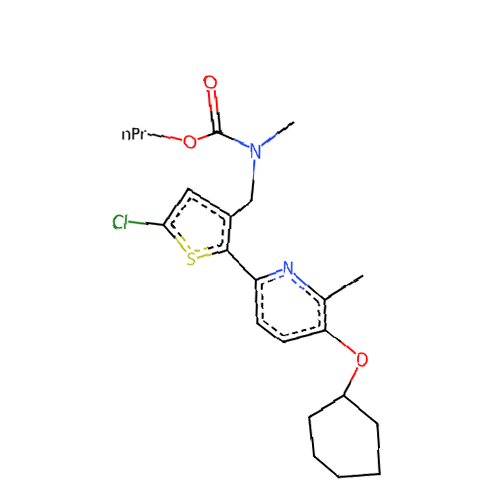 CCCOC(=O)N(C)Cc1cc(Cl)sc1-c1ccc(OC2CCCCC2)c(C)n1